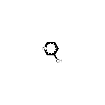 Oc1[c]nccc1